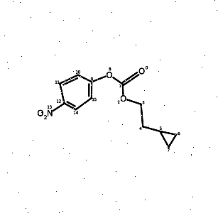 O=C(OCCC1CC1)Oc1ccc([N+](=O)[O-])cc1